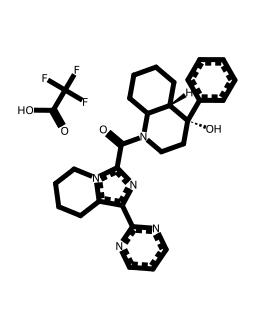 O=C(O)C(F)(F)F.O=C(c1nc(-c2ncccn2)c2n1CCCC2)N1CC[C@](O)(c2ccccc2)[C@H]2CCCCC21